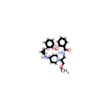 COCC(CNC(=O)c1ccccc1O)N1CCC(N[C@@H]2C[C@H]2c2ccccc2)CC1